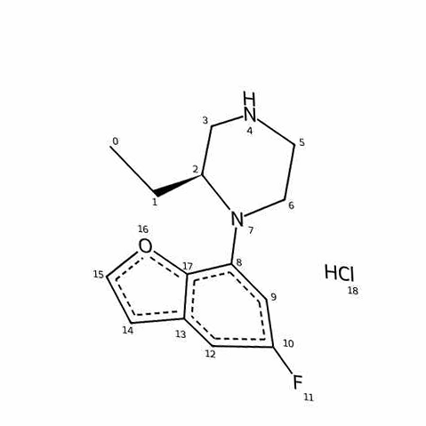 CC[C@H]1CNCCN1c1cc(F)cc2ccoc12.Cl